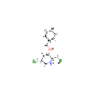 FCc1ncc(Br)cc1OCc1ccccc1